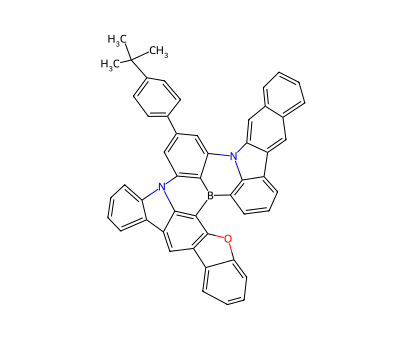 CC(C)(C)c1ccc(-c2cc3c4c(c2)-n2c5ccccc5c5cc6c(oc7ccccc76)c(c52)B4c2cccc4c5cc6ccccc6cc5n-3c24)cc1